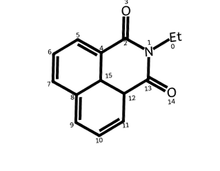 CCN1C(=O)C2=CC=CC3=CC=CC(C1=O)C32